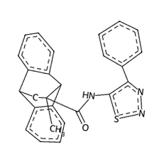 CC1(C(=O)Nc2snnc2-c2ccccc2)CC2c3ccccc3C1c1ccccc12